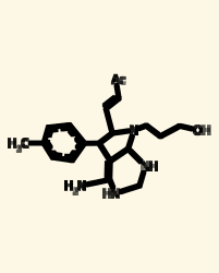 CC(=O)/C=C/C1C(c2ccc(C)cc2)C2=C(N)NCNC2N1CCCO